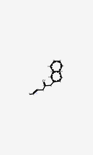 C/C=C/CC(=O)Cc1ccc2ccccc2c1